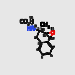 C[C@](Cc1ccccc1)(NC(=O)O)C1CO1